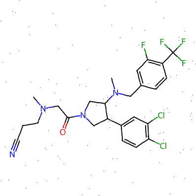 CN(CCC#N)CC(=O)N1CC(c2ccc(Cl)c(Cl)c2)C(N(C)Cc2ccc(C(F)(F)F)c(F)c2)C1